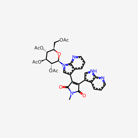 CC(=O)OC[C@H]1O[C@@H](n2cc(C3=C(c4c[nH]c5ncccc45)C(=O)N(C)C3=O)c3cccnc32)[C@H](OC(C)=O)[C@@H](OC(C)=O)[C@@H]1OC(C)=O